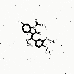 CO/C(=C1/C(=O)N(C(C)=O)c2cc(Cl)ccc21)c1ccc(OC)c(OC)c1